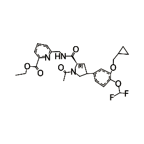 CCOC(=O)c1cccc(CNC(=O)[C@H]2CC(c3ccc(OC(F)F)c(OCC4CC4)c3)CN2C(C)=O)n1